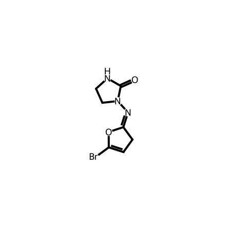 O=C1NCCN1N=C1CC=C(Br)O1